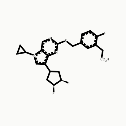 O=C(O)Cc1cc(CSc2ncc3c(n2)c(C2C[C@@H](F)[C@@H](F)C2)cn3C2CC2)ccc1F